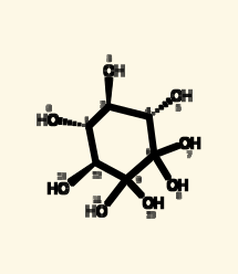 O[C@@H]1[C@@H](O)[C@H](O)C(O)(O)C(O)(O)[C@H]1O